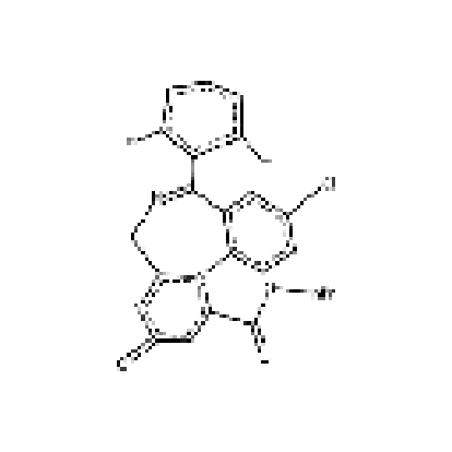 CCCOC(=O)c1cc(=O)nc2n1-c1ccc(Cl)cc1C(c1c(F)cccc1F)=NC2